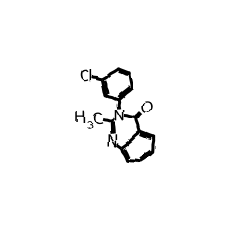 Cc1nc2ccccc2c(=O)n1-c1cccc(Cl)c1